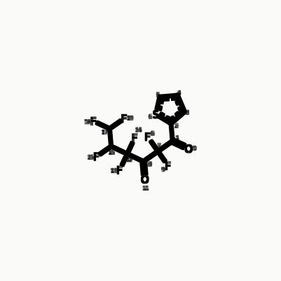 O=C(c1cccs1)C(F)(F)C(=O)C(F)(F)C(F)C(F)F